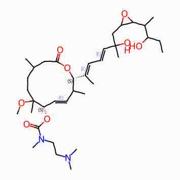 CCC(O)C(C)C1OC1CC(C)(O)/C=C/C=C(\C)[C@H]1OC(=O)CC(C)CCC(C)(OC)[C@@H](OC(=O)N(C)CCN(C)C)/C=C/C1C